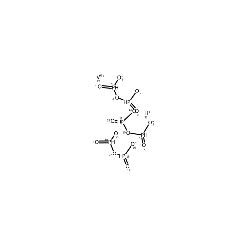 O=[PH]([O-])O[PH](=O)[O-].O=[PH]([O-])O[PH](=O)[O-].O=[PH]([O-])O[PH](=O)[O-].[Li+].[V+5]